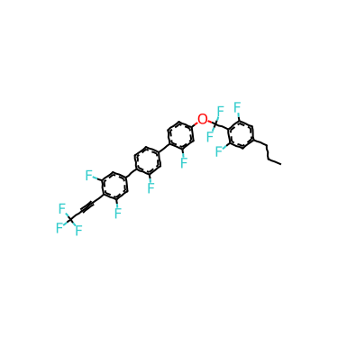 CCCc1cc(F)c(C(F)(F)Oc2ccc(-c3ccc(-c4cc(F)c(C#CC(F)(F)F)c(F)c4)c(F)c3)c(F)c2)c(F)c1